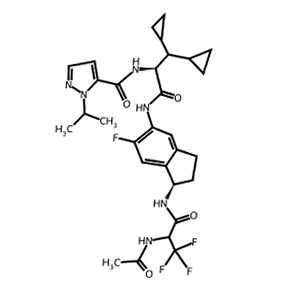 CC(=O)NC(C(=O)N[C@@H]1CCc2cc(NC(=O)[C@@H](NC(=O)c3ccnn3C(C)C)C(C3CC3)C3CC3)c(F)cc21)C(F)(F)F